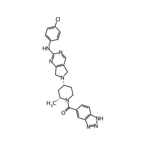 C[C@@H]1C[C@H](N2Cc3cnc(Nc4ccc(Cl)cc4)nc3C2)CCN1C(=O)c1ccc2[nH]nnc2c1